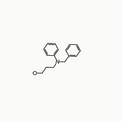 [O]CCCN(Cc1ccccc1)c1ccccc1